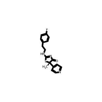 C[C@@]1(c2ccncc2)SC(NCCc2ccc(F)cc2)=NC1=O